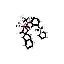 CN(C(=O)C1(CC(=O)OC(C)(C)C)Cc2ccccc2C1)c1nc2c(S(=O)(=O)N3CCCC3)cccc2s1